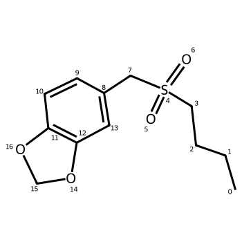 CCCCS(=O)(=O)Cc1ccc2c(c1)OCO2